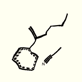 C=C(CCCC)c1ccccc1.CC#N